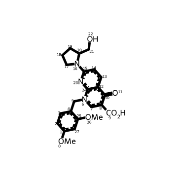 COc1ccc(Cn2cc(C(=O)O)c(=O)c3ccc(N4CCCC4CO)nc32)c(OC)c1